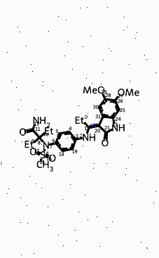 CC/C(Nc1ccc(N(C(CC)(CC)C(N)=O)S(C)(=O)=O)cc1)=C1/C(=O)Nc2cc(OC)c(OC)cc21